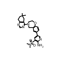 CN(C)S(=O)(=O)c1cc(-c2ccc3c(c2)CN(c2ncnc4c2CC(C)(C)CC4)CCO3)cnc1N